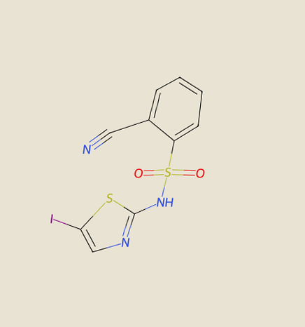 N#Cc1ccccc1S(=O)(=O)Nc1ncc(I)s1